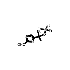 CCC(C)(O[Si](CC)(CC)CC)c1csc(C=O)n1